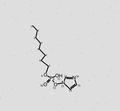 CCCCCCCCOP(=O)(O)On1ccnc1